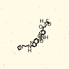 CC(=O)SCC(=O)c1ccc(NS(=O)(=O)c2ccc3nc(NCCCN4CCCC4)ccc3c2)nc1